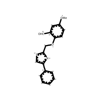 COc1ccc(OCc2nc(-c3ccccc3)cs2)c(C=O)c1